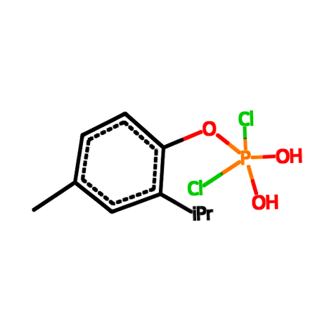 Cc1ccc(OP(O)(O)(Cl)Cl)c(C(C)C)c1